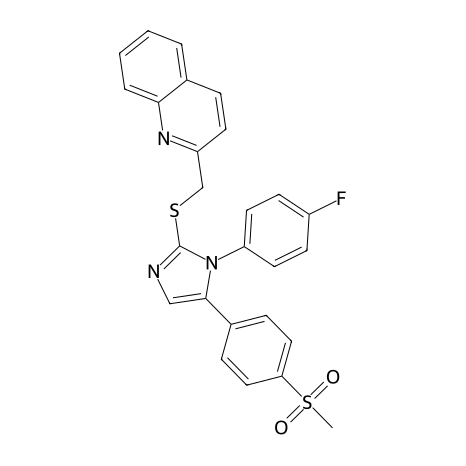 CS(=O)(=O)c1ccc(-c2cnc(SCc3ccc4ccccc4n3)n2-c2ccc(F)cc2)cc1